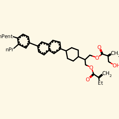 C=C(CC)C(=O)OCC(COC(=O)C(=C)CO)C1CCC(c2ccc3cc(-c4ccc(CCCCC)c(CCC)c4)ccc3c2)CC1